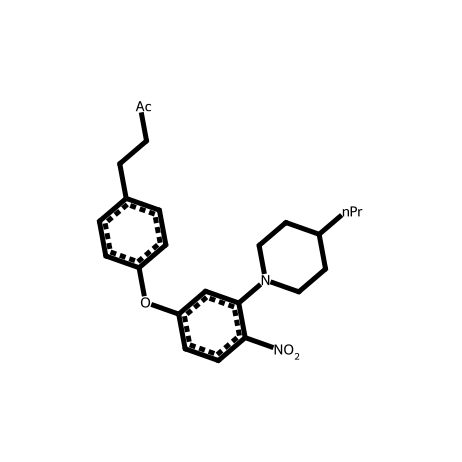 CCCC1CCN(c2cc(Oc3ccc(CCC(C)=O)cc3)ccc2[N+](=O)[O-])CC1